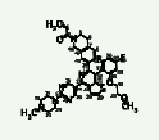 C=CC(=O)N1CCc2ccc(-c3nc(-c4cnc(N5CCN(C)CC5)nc4)c4ccsc4c3-c3c(F)cc(F)cc3OCCOC)cc2C1